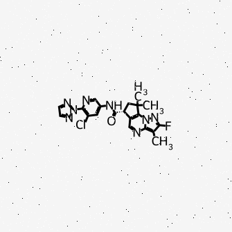 Cc1c(F)nn2c3c(cnc12)[C@H](C(=O)Nc1cnc(-n2nccn2)c(Cl)c1)CC3(C)C